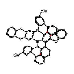 CC(C)(C)c1ccc(N2B3c4cc5c(cc4N(c4ccc(C(C)(C)C)cc4-c4ccccc4)c4cc6c(oc7ccccc76)c(c43)-c3ccccc32)Sc2ccccc2S5)c(-c2ccccc2)c1